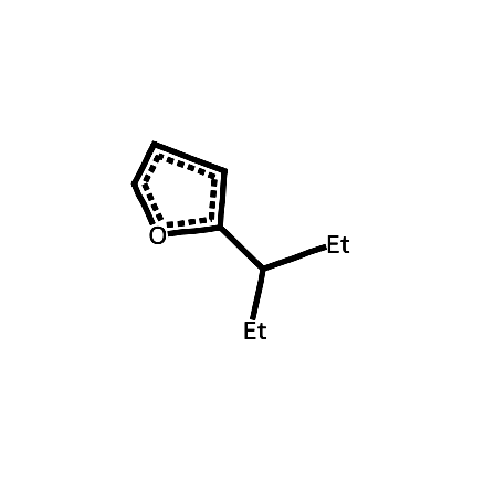 CCC(CC)c1ccco1